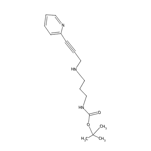 CC(C)(C)OC(=O)NCCCNCC#Cc1ccccn1